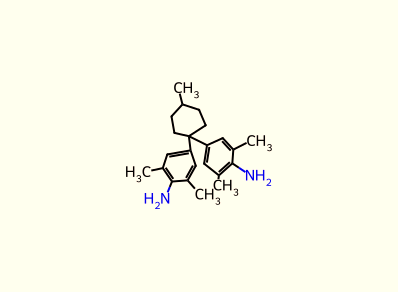 Cc1cc(C2(c3cc(C)c(N)c(C)c3)CCC(C)CC2)cc(C)c1N